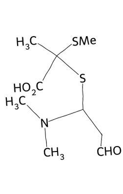 CSC(C)(SC(CC=O)N(C)C)C(=O)O